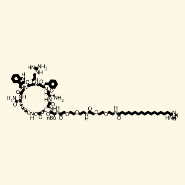 CCCC[C@H](NC(=O)COCCOCCNC(=O)COCCOCCNC(=O)CCCCCCCCCCCCCCCc1nnn[nH]1)C(=O)N[C@H]1CCC(=O)CNCCCC[C@@H](C(N)=O)NC(=O)[C@H](Cc2c[nH]c3ccccc23)NC(=O)[C@H](CCCNC(=N)N)NC(=O)[C@@H](Cc2ccccc2)NC(=O)[C@H](CN)NC1=O